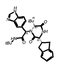 CC[C@@H](C)[C@@H]1C(=O)N[C@H](C2Cc3ccccc3C2)C(=O)N1[C@@H](C(=O)NC(C)(C)C)c1ccc2[nH]cnc2c1